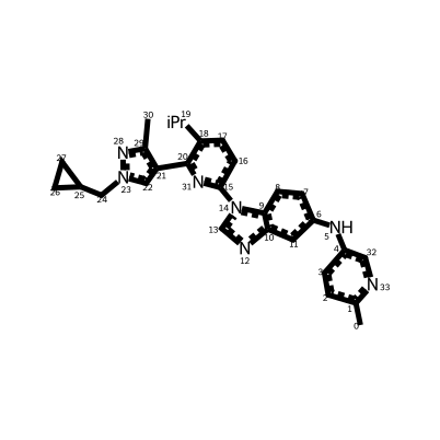 Cc1ccc(Nc2ccc3c(c2)ncn3-c2ccc(C(C)C)c(-c3cn(CC4CC4)nc3C)n2)cn1